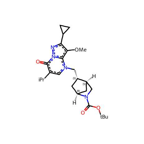 COc1c(C2CC2)nn2c(=O)c(C(C)C)cn(C[C@H]3C[C@H]4C[C@@H]3CN4C(=O)OC(C)(C)C)c12